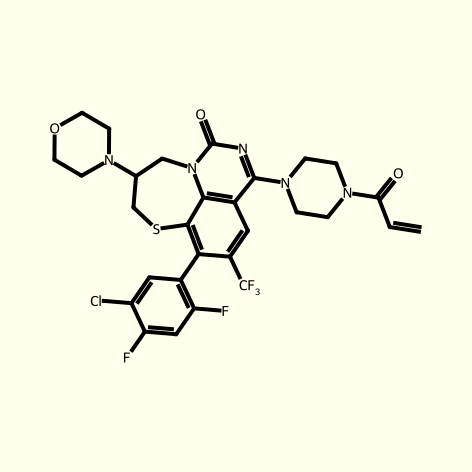 C=CC(=O)N1CCN(c2nc(=O)n3c4c(c(-c5cc(Cl)c(F)cc5F)c(C(F)(F)F)cc24)SCC(N2CCOCC2)C3)CC1